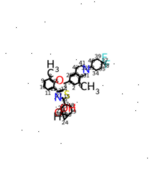 Cc1cc(COc2c(C)cccc2-c2csc(C3CC[C@@]4(C(=O)O)C[C@H]4C3)n2)cc2c1CN(C1CCC(F)(F)CC1)CC2